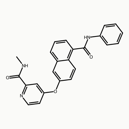 CNC(=O)c1cc(Oc2ccc3c(C(=O)Nc4ccccc4)cccc3c2)ccn1